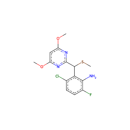 COc1cc(OC)nc(C(SC)c2c(Cl)ccc(F)c2N)n1